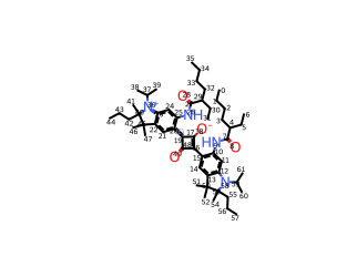 CCCCC(CC)C(=O)Nc1cc2c(cc1C1=C([O-])/C(=c3/cc4c(cc3NC(=O)C(CC)CCCC)=[N+](C(C)C)C(C)(CCC)C4(C)C)C1=O)C(C)(C)C(C)(CCC)N2C(C)C